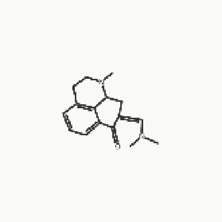 CN(C)C=C1CC2c3c(cccc3C1=O)CCN2C